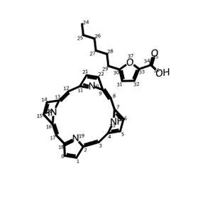 C1=Cc2cc3ccc(cc4nc(cc5ccc(cc1n2)[nH]5)C=C4)[nH]3.CCCCCCc1ccc(C(=O)O)o1